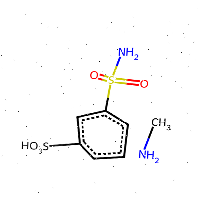 CN.NS(=O)(=O)c1cccc(S(=O)(=O)O)c1